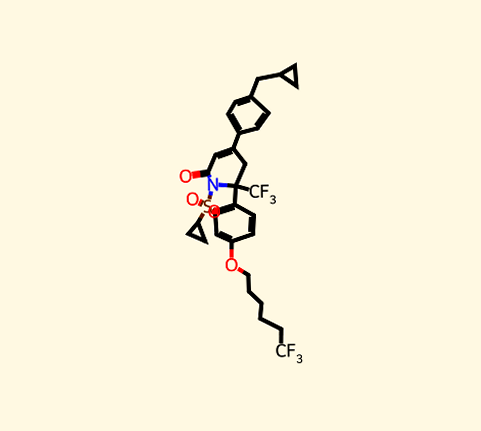 O=C1C=C(c2ccc(CC3CC3)cc2)CC(c2ccc(OCCCCCC(F)(F)F)cc2)(C(F)(F)F)N1S(=O)(=O)C1CC1